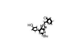 CC(C)(C)c1nc(N2CC[C@H](O)C2)c2nn(Cc3ncccc3Cl)nc2n1